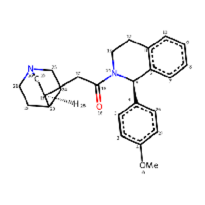 COc1ccc([C@@H]2c3ccccc3CCN2C(=O)C[C@@H]2CN3CCC2CC3)cc1